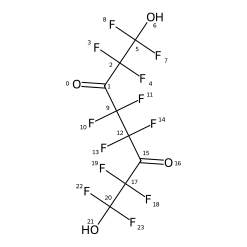 O=C(C(F)(F)C(O)(F)F)C(F)(F)C(F)(F)C(=O)C(F)(F)C(O)(F)F